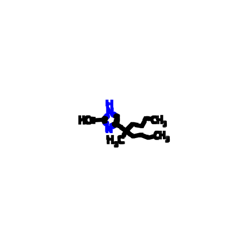 C#Cc1nc(C(C)(CCCC)CCCC)c[nH]1